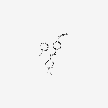 Clc1ccccc1.[N-]=[N+]=Nc1ccc(N=Nc2ccc([N+](=O)[O-])cc2)cc1